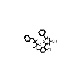 CN(Cc1ccc(Cl)c(-c2nc(O)nc(-c3ccccc3)n2)c1)C(=O)C(C)(C)Cc1ccccc1